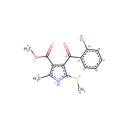 COC(=O)c1c(C)[nH]c(SC)c1C(=O)c1ccccc1Cl